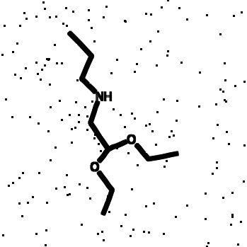 CCCNCC(OCC)OCC